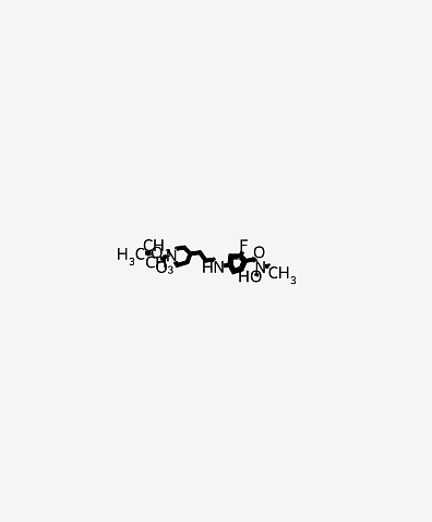 CCN(O)C(=O)c1ccc(NCCCC2CCN(C(=O)OC(C)(C)C)CC2)cc1F